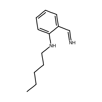 CCCCCNc1ccccc1C=N